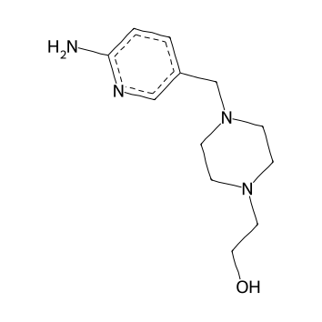 Nc1ccc(CN2CCN(CCO)CC2)cn1